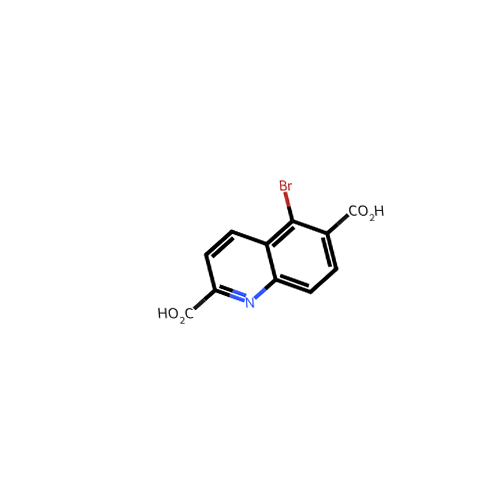 O=C(O)c1ccc2c(Br)c(C(=O)O)ccc2n1